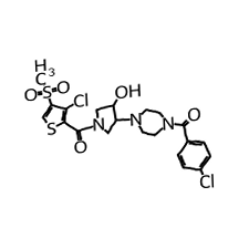 CS(=O)(=O)c1csc(C(=O)N2CC(O)C(N3CCN(C(=O)c4ccc(Cl)cc4)CC3)C2)c1Cl